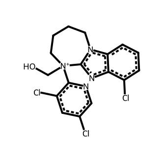 OC[N+]1(c2ncc(Cl)cc2Cl)CCCCn2c1nc1c(Cl)cccc12